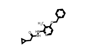 Cc1c(OCc2ccccc2)ccnc1NNC(=O)CC1CC1